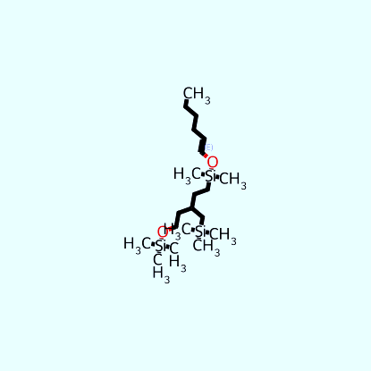 CCCC/C=C/O[Si](C)(C)CCC(CCO[Si](C)(C)C)C[Si](C)(C)C